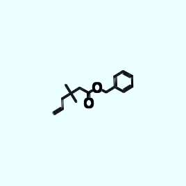 C=CCC(C)(C)CC(=O)OCc1ccccc1